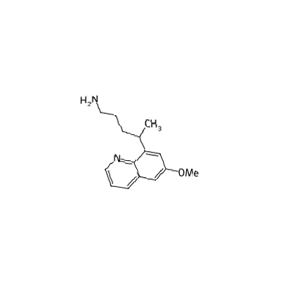 COc1cc(C(C)CCCN)c2ncccc2c1